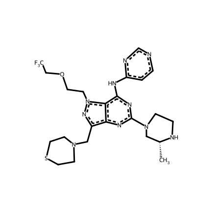 C[C@@H]1CN(c2nc(Nc3ccncn3)c3c(n2)c(CN2CCSCC2)nn3CCOCC(F)(F)F)CCN1